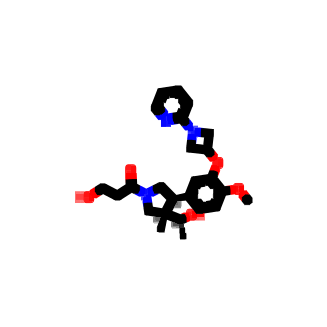 COc1ccc([C@@H]2CN(C(=O)CCO)C[C@@]2(C)[C@@H](C)O)cc1OC1CN(c2ccccn2)C1